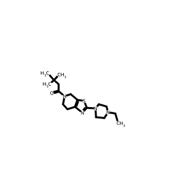 CCN1CCN(c2nc3c(s2)CN(C(=O)CC(C)(C)C)CC3)CC1